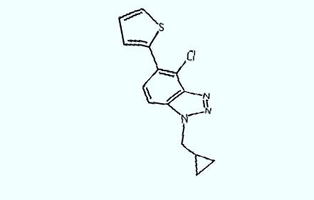 Clc1c(-c2cccs2)ccc2c1nnn2CC1CC1